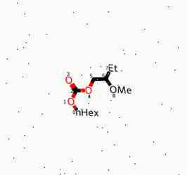 CCCCCCOC(=O)OCC(CC)OC